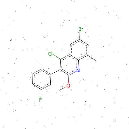 COc1nc2c(C)cc(Br)cc2c(Cl)c1-c1cccc(F)c1